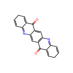 O=C1C2=CCC=CC2=Nc2cc3c(cc21)N=C1C=CCC=C1C3=O